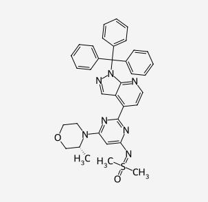 C[C@@H]1COCCN1c1cc(N=S(C)(C)=O)nc(-c2ccnc3c2cnn3C(c2ccccc2)(c2ccccc2)c2ccccc2)n1